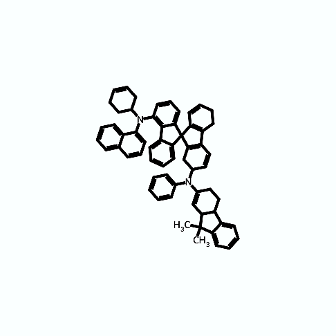 CC1(C)c2ccccc2C2CCC(N(c3ccccc3)C3C=CC4=C(C3)C3(C5=C4CCC=C5)c4ccccc4-c4c(N(c5cccc6ccccc56)C5CC=CCC5)cccc43)=CC21